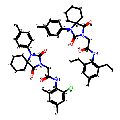 CCc1cc(C)cc(CC)c1NC(=O)CN1C(=O)N(c2ccc(C)cc2)C2(CCCCC2)C1=O.Cc1ccc(N2C(=O)N(CC(=O)Nc3c(C)cc(C)cc3Cl)C(=O)C23CCCCC3)cc1